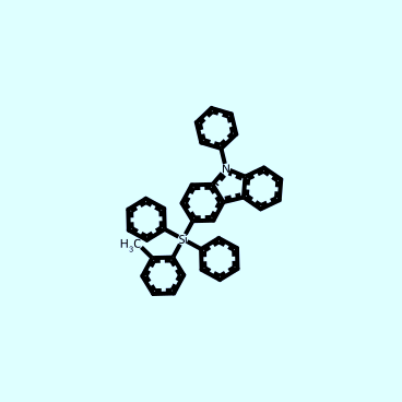 Cc1ccccc1[Si](c1ccccc1)(c1ccccc1)c1ccc2c(c1)c1ccccc1n2-c1ccccc1